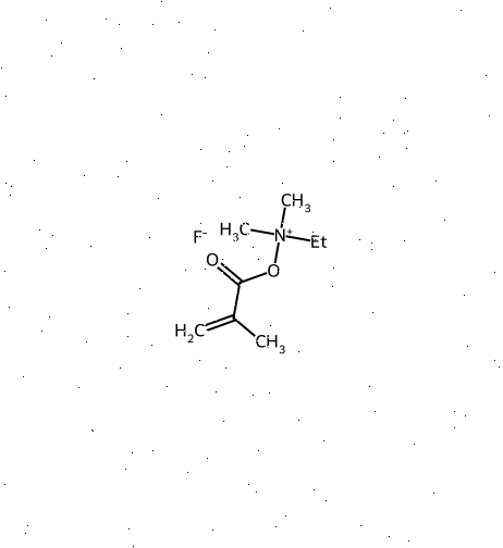 C=C(C)C(=O)O[N+](C)(C)CC.[F-]